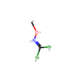 CON=C(Br)Br